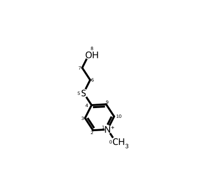 C[n+]1ccc(SCCO)cc1